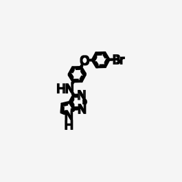 Brc1ccc(Oc2ccc(Nc3ncnc4[nH]ccc34)cc2)cc1